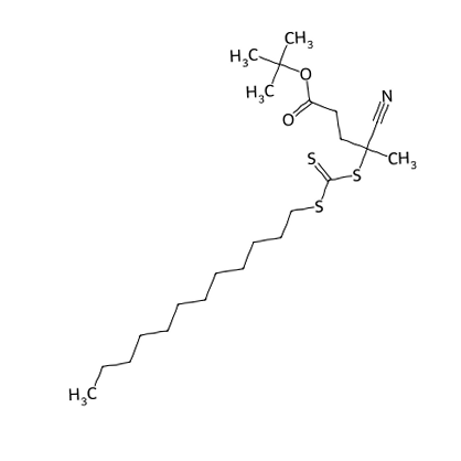 CCCCCCCCCCCCSC(=S)SC(C)(C#N)CCC(=O)OC(C)(C)C